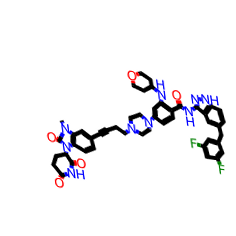 Cn1c(=O)n(C2CCC(=O)NC2=O)c2ccc(C#CCCN3CCN(c4ccc(C(=O)Nc5n[nH]c6ccc(Cc7cc(F)cc(F)c7)cc56)c(NC5CCOCC5)c4)CC3)cc21